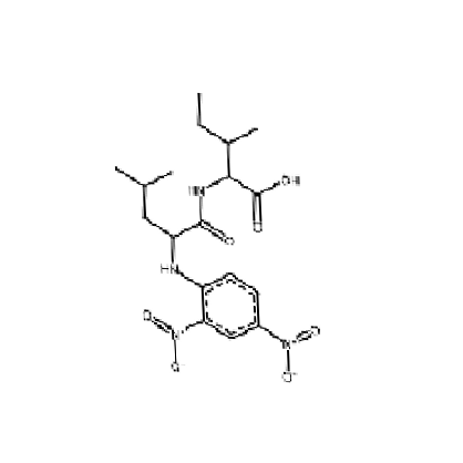 CCC(C)C(NC(=O)C(CC(C)C)Nc1ccc([N+](=O)[O-])cc1[N+](=O)[O-])C(=O)O